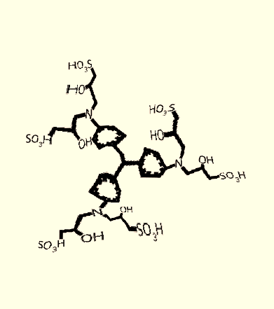 O=S(=O)(O)CC(O)CN(CC(O)CS(=O)(=O)O)c1ccc(C(c2ccc(N(CC(O)CS(=O)(=O)O)CC(O)CS(=O)(=O)O)cc2)c2ccc(N(CC(O)CS(=O)(=O)O)CC(O)CS(=O)(=O)O)cc2)cc1